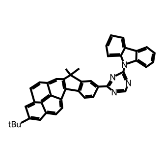 CC(C)(C)c1cc2ccc3cc4c(c5ccc(c1)c2c35)-c1ccc(-c2ncnc(-n3c5ccccc5c5ccccc53)n2)cc1C4(C)C